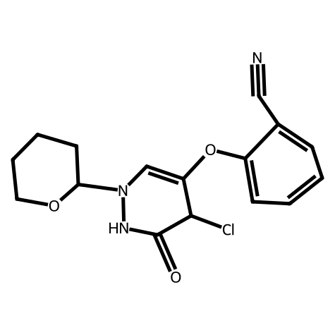 N#Cc1ccccc1OC1=CN(C2CCCCO2)NC(=O)C1Cl